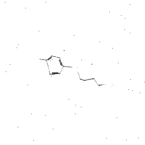 CC[C@H](C)CCCOc1ccc(Br)cc1